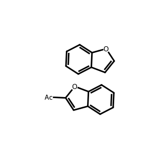 CC(=O)c1cc2ccccc2o1.c1ccc2occc2c1